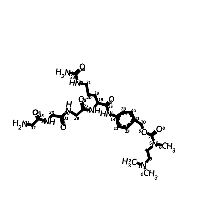 CN(C)CCN(C)C(=O)OCc1ccc(NC(=O)C(CCCNC(N)=O)NC(=O)CNC(=O)CNC(=O)CN)cc1